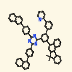 CC1(C)c2ccccc2-c2c1cc(-c1cc(-c3cccc(-c4ccccn4)c3)cc(-c3nc(-c4ccc(-c5ccc6ccccc6c5)cc4)nc(-c4ccc(-c5cccc6ccccc56)cc4)n3)c1)c1ccccc21